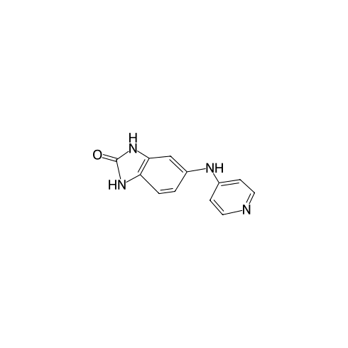 O=c1[nH]c2ccc(Nc3ccncc3)cc2[nH]1